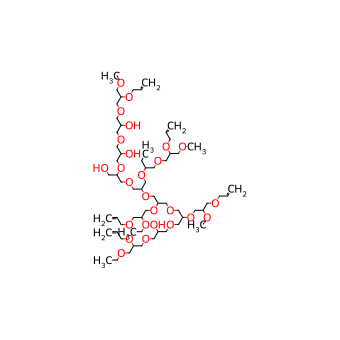 C=CCOCC(COC(COCC(O)COCC(COCC)OCC=C)COCC(COC(COCC(CO)OCC(O)COCC(O)COCC(COC)OCC=C)COC(CC)COCC(COC)OCC=C)OCC(COCC=C)OCC)OC